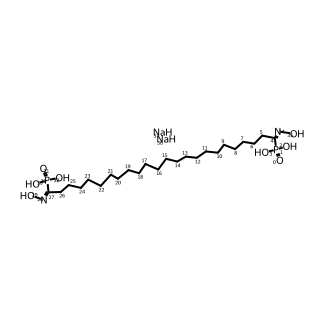 O=P(O)(O)/C(CCCCCCCCCCCCCCCCCCCCCC/C(=N/O)P(=O)(O)O)=N\O.[NaH].[NaH]